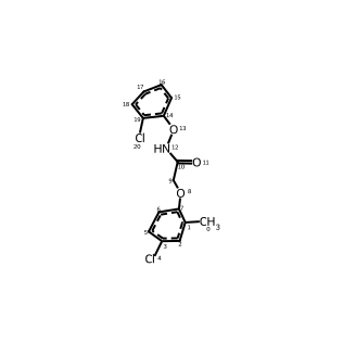 Cc1cc(Cl)ccc1OCC(=O)NOc1ccccc1Cl